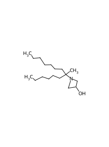 CCCCCCCC(C)(CCCCCC)N1CC(O)C1